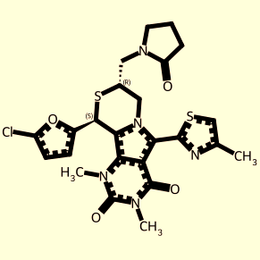 Cc1csc(-c2c3c(=O)n(C)c(=O)n(C)c3c3n2C[C@@H](CN2CCCC2=O)S[C@@H]3c2ccc(Cl)o2)n1